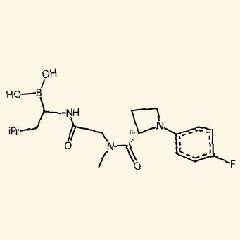 CC(C)CC(NC(=O)CN(C)C(=O)[C@@H]1CCN1c1ccc(F)cc1)B(O)O